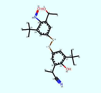 CC(O)c1cc(SSc2cc(C(C)C#N)c(O)c(C(C)(C)C)c2)cc(C(C)(C)C)c1N=O